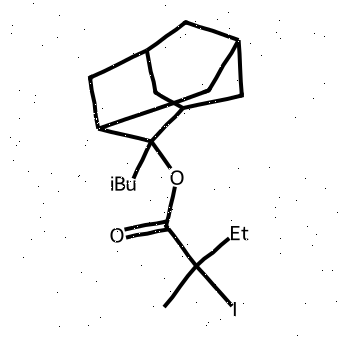 CCC(C)C1(OC(=O)C(C)(I)CC)C2CC3CC(C2)CC1C3